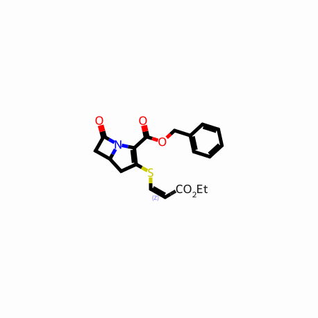 CCOC(=O)/C=C\SC1=C(C(=O)OCc2ccccc2)N2C(=O)CC2C1